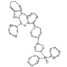 O=P(c1ccccc1)(c1ccccc1)c1ccc(-c2ccc(-c3cccc4c3nc(-c3ccccc3)c3oc5c(c34)=CCCC=5)cc2)cc1